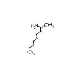 CCCCCCC[C@@H](C)N